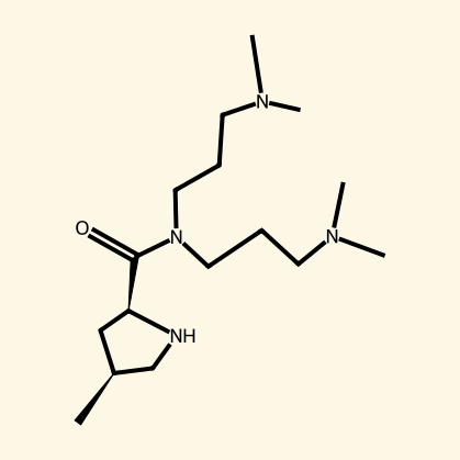 C[C@@H]1CN[C@H](C(=O)N(CCCN(C)C)CCCN(C)C)C1